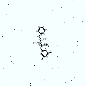 Cc1cc(C)cc(C[C@H](N)[C@H](O)[C@@H](N)Cc2ccccc2)c1